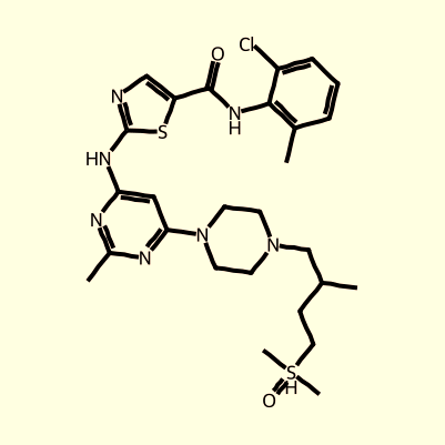 Cc1nc(Nc2ncc(C(=O)Nc3c(C)cccc3Cl)s2)cc(N2CCN(CC(C)CC[SH](C)(C)=O)CC2)n1